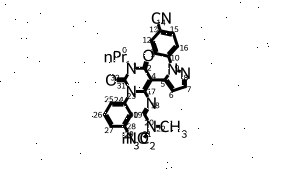 CCCn1c(=O)c(-c2ccnn2-c2ccc(C#N)cc2)c(/N=C/N(C)C)n(-c2cccc([N+](=O)[O-])c2)c1=O